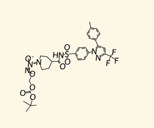 Cc1ccc(-c2cc(C(F)(F)F)nn2-c2ccc(S(=O)(=O)NC(=O)C3CCN(/[N+]([O-])=N\OCOC(=O)OC(C)(C)C)CC3)cc2)cc1